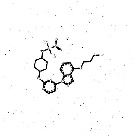 C[N+](C)(NC1CCC(Nc2nccc(-n3ncc4c(OCCCO)cccc43)n2)CC1)[SH](=O)=O